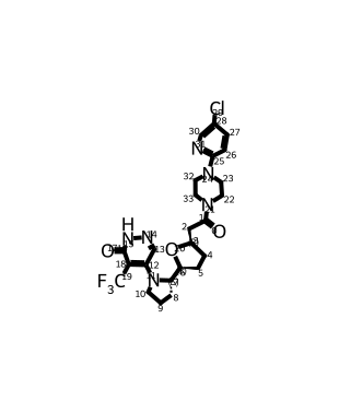 O=C(C[C@H]1CC[C@@H]([C@@H]2CCCN2c2cn[nH]c(=O)c2C(F)(F)F)O1)N1CCN(c2ccc(Cl)cn2)CC1